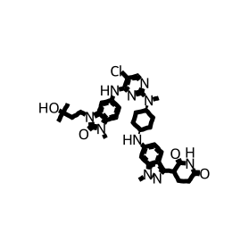 Cn1nc(C2CCC(=O)NC2=O)c2ccc(N[C@H]3CC[C@H](N(C)c4ncc(Cl)c(Nc5ccc6c(c5)n(CCC(C)(C)O)c(=O)n6C)n4)CC3)cc21